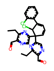 CCc1nc(C2(c3cnc(C=O)c(CC)n3)C=CC=C(c3ccccc3Cl)C2Cl)cnc1C=O